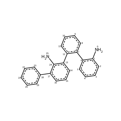 Nc1ccccc1-c1ccccc1-c1cccc(-c2ccccc2)c1N